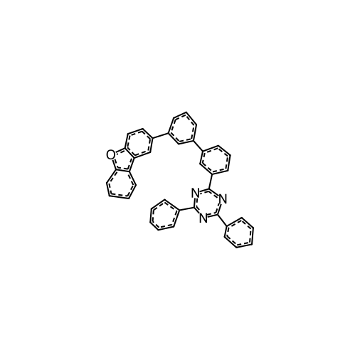 c1ccc(-c2nc(-c3ccccc3)nc(-c3cccc(-c4cccc(-c5ccc6oc7ccccc7c6c5)c4)c3)n2)cc1